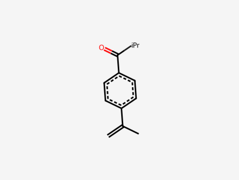 C=C(C)c1ccc(C(=O)C(C)C)cc1